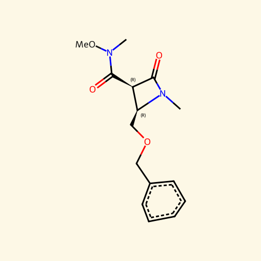 CON(C)C(=O)[C@H]1C(=O)N(C)[C@H]1COCc1ccccc1